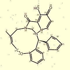 C/C1=C/COc2ccccc2[C@H](c2ccccc2)N2CN(C1)C(=O)c1c(O)c(=O)ccn12